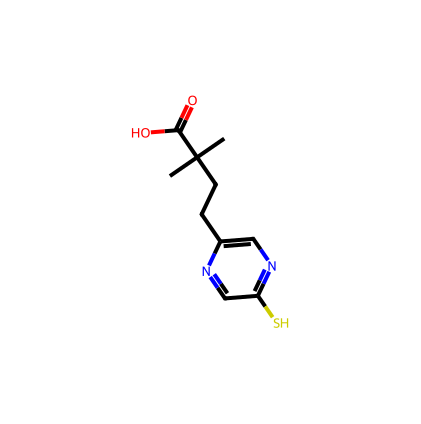 CC(C)(CCc1cnc(S)cn1)C(=O)O